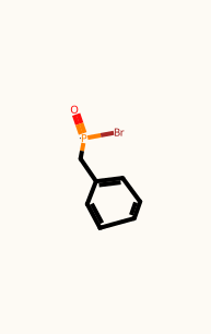 O=[P](Br)Cc1ccccc1